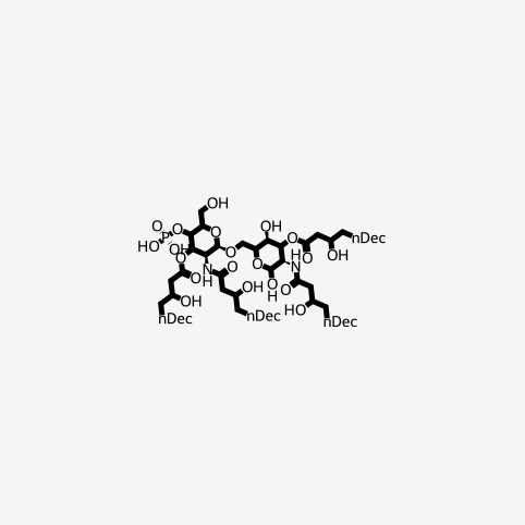 CCCCCCCCCCCC(O)CC(=O)N[C@@H]1C(O)OC(CO[C@@H]2OC(CO)C(OP(=O)(O)O)C(OC(=O)CC(O)CCCCCCCCCCC)[C@@H]2NC(=O)CC(O)CCCCCCCCCCC)[C@@H](O)C1OC(=O)CC(O)CCCCCCCCCCC